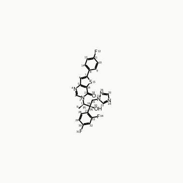 C[C@@H](n1cnc2cc(-c3ccc(F)cc3)sc2c1=O)[C@](O)(Cn1cncn1)c1ccc(F)cc1F